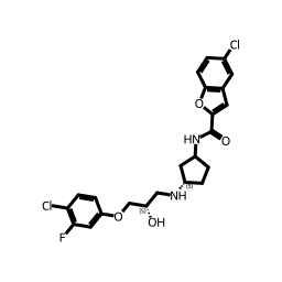 O=C(NC1CC[C@H](NC[C@H](O)COc2ccc(Cl)c(F)c2)C1)c1cc2cc(Cl)ccc2o1